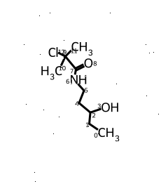 CCC(O)CCNC(=O)C(C)(C)Cl